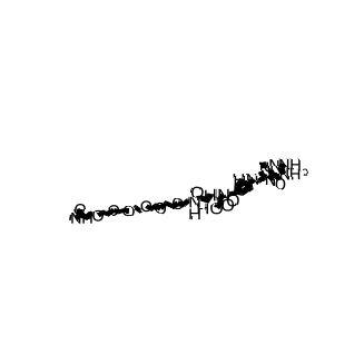 C=Nc1nc(N)[nH]c(=O)c1/N=C(\C)CNc1ccc(C(=O)N[C@@H](CCC(=O)NCCOCCOCCOCCOCCOCCOCCC(=O)NC)C(=O)O)cc1